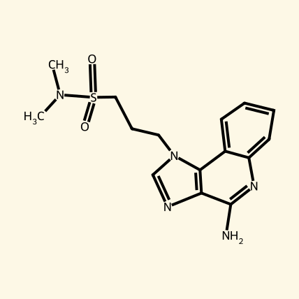 CN(C)S(=O)(=O)CCCn1cnc2c(N)nc3ccccc3c21